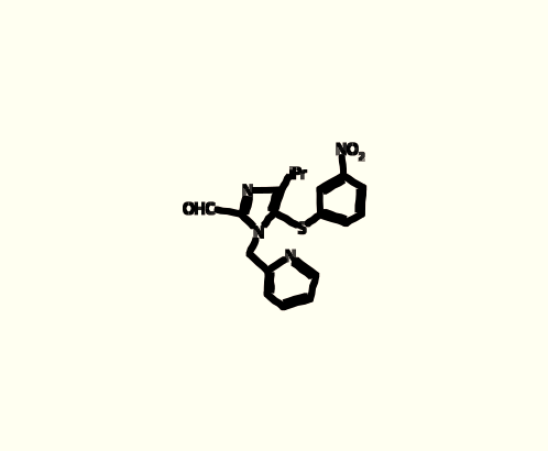 CC(C)c1nc(C=O)n(Cc2ccccn2)c1Sc1cccc([N+](=O)[O-])c1